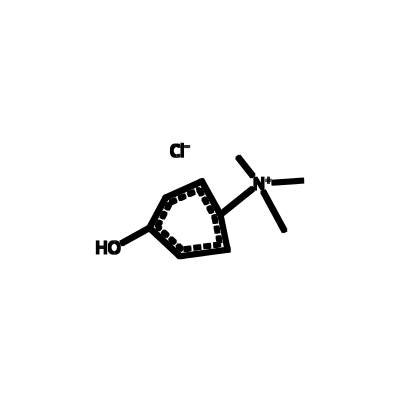 C[N+](C)(C)c1ccc(O)cc1.[Cl-]